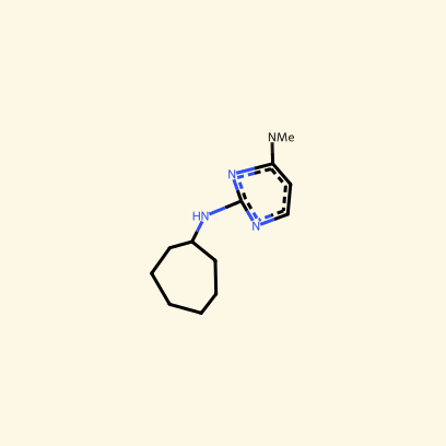 CNc1ccnc(NC2CCCCCC2)n1